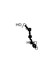 O=C(O)CCCOc1cccc(C#Cc2ccc(/C=C/c3nc(-c4ccc(Cl)cc4Cl)c[nH]3)cc2)c1